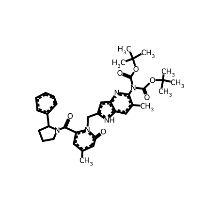 Cc1cc(C(=O)N2CCCC2c2ccccc2)n(Cc2cc3nc(N(C(=O)OC(C)(C)C)C(=O)OC(C)(C)C)c(C)cc3[nH]2)c(=O)c1